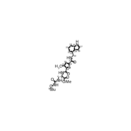 COC(=O)[C@H](CNC(=O)NOC(C)(C)C)NC(=O)c1sc(C(=O)NCc2cccc3[nH]ccc23)cc1C